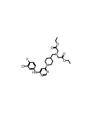 CCOC(=O)CN(CC(=O)OCC)CC1CCN(c2cc(Nc3ccc(F)c(Cl)c3)ncn2)CC1